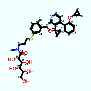 CN(CCCSc1ccc(Cl)c(COC2(c3cnccc3-c3ccccc3OC3CC3)CC2)c1)C(=O)[C@@H](O)[C@@H](O)[C@H](O)[C@@H](O)CO